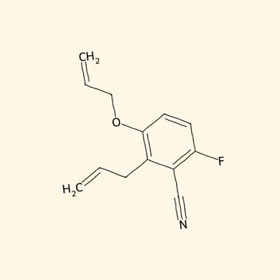 C=CCOc1ccc(F)c(C#N)c1CC=C